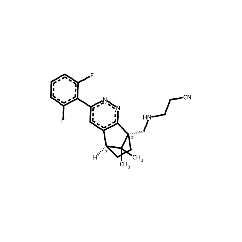 CC1(C)[C@H]2CC[C@]1(CNCCC#N)c1nnc(-c3c(F)cccc3F)cc12